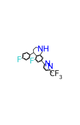 Fc1ccc(C2CCNCc3cc(-c4ccc(C(F)(F)F)nn4)cc(F)c32)cc1